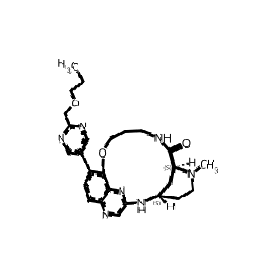 CCCOCc1ncc(-c2ccc3ncc4nc3c2OCCCNC(=O)[C@@H]2C[C@H](CCN2C)N4)cn1